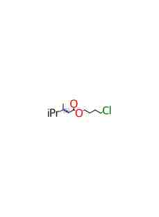 C/C(=C\C(=O)OCCCCCl)C(C)C